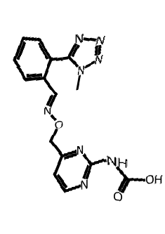 Cn1nnnc1-c1ccccc1C=NOCc1ccnc(NC(=O)O)n1